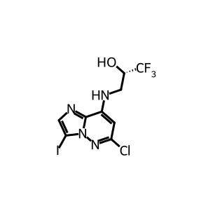 O[C@@H](CNc1cc(Cl)nn2c(I)cnc12)C(F)(F)F